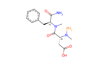 CN(P)[C@H](CC(=O)O)C(=O)N(C)[C@@H](Cc1ccccc1)C(N)=O